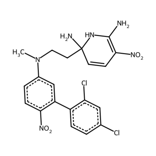 CN(CCC1(N)C=CC([N+](=O)[O-])=C(N)N1)c1ccc([N+](=O)[O-])c(-c2ccc(Cl)cc2Cl)c1